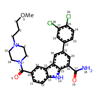 COCCCN1CCN(C(=O)c2ccc3[nH]c4c(C(N)=O)cc(-c5ccc(Cl)c(Cl)c5)cc4c3c2)CC1